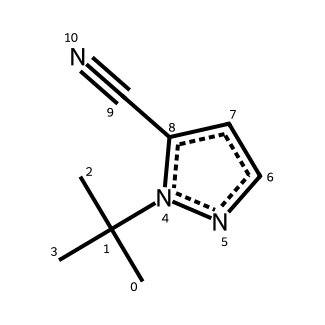 CC(C)(C)n1nccc1C#N